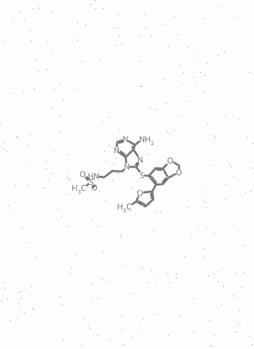 Cc1ccc(-c2cc3c(cc2Sc2nc4c(N)ncnc4n2CCCNS(C)(=O)=O)OCO3)o1